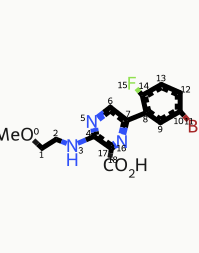 COCCNc1ncc(-c2cc(Br)ccc2F)nc1C(=O)O